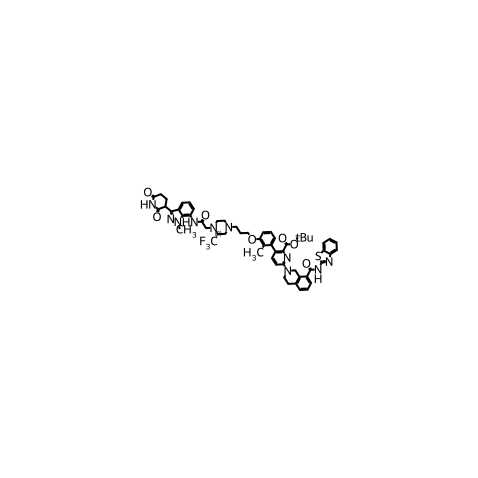 Cc1c(OCCCN2CCN(CC(=O)Nc3cccc4c(C5CCC(=O)NC5=O)nn(C)c34)[C@@H](C(F)(F)F)C2)cccc1-c1ccc(N2CCc3cccc(C(=O)Nc4nc5ccccc5s4)c3C2)nc1C(=O)OC(C)(C)C